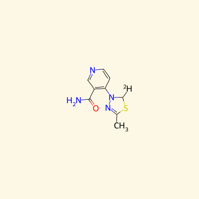 [2H]C1SC(C)=NN1c1ccncc1C(N)=O